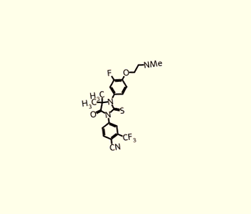 CNCCOc1ccc(N2C(=S)N(c3ccc(C#N)c(C(F)(F)F)c3)C(=O)C2(C)C)cc1F